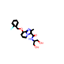 Cc1nc2c(OCc3ccccc3F)cccn2c1C(=O)NC(CO)CO